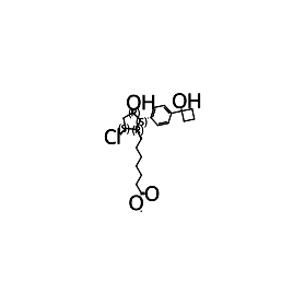 COC(=O)CCCCCC[C@@H]1[C@@H](c2ccc(C3(O)CCC3)cc2)[C@H](O)C[C@@H]1Cl